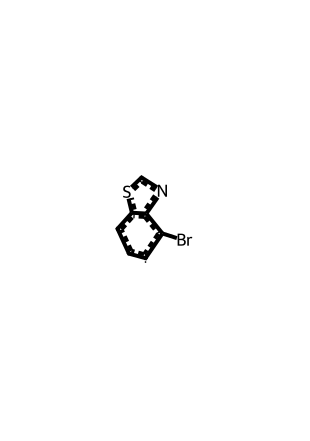 Brc1[c]ccc2scnc12